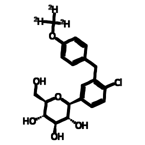 [2H]C([2H])([2H])Oc1ccc(Cc2cc([C@@H]3O[C@H](CO)[C@@H](O)[C@H](O)[C@H]3O)ccc2Cl)cc1